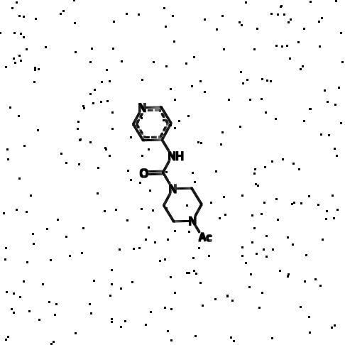 CC(=O)N1CCN(C(=O)Nc2ccncc2)CC1